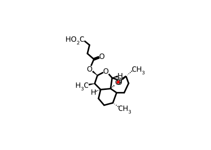 C[C@H]1[C@@H](OC(=O)CCC(=O)O)O[C@@H]2O[C@]3(C)CCC4[C@H](C)CC[C@@H]1[C@]42OO3